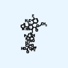 CCOC(=O)C1=C(CN2CC(F)(F)[C@H]3[C@@H]2CON3C[C@H](OC(F)F)C(C)(C)C(=O)O)NC(c2nccs2)=N[C@H]1c1cccc(F)c1C